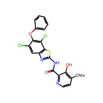 COc1ccnc(C(=O)Nc2nc3cc(Cl)c(Oc4ccccc4)c(Cl)c3s2)c1O